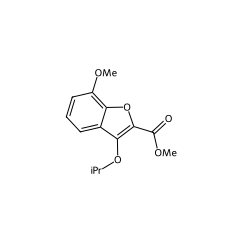 COC(=O)c1oc2c(OC)cccc2c1OC(C)C